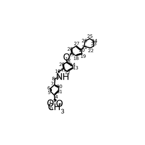 COC(=O)c1ccc(CNCc2cccc(Oc3ccc(C4CCCCC4)cc3)c2)cc1